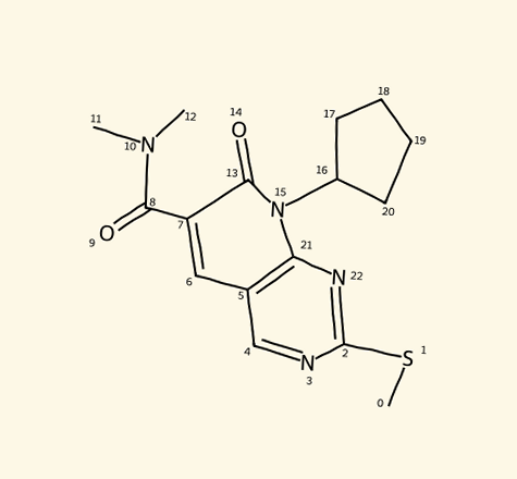 CSc1ncc2cc(C(=O)N(C)C)c(=O)n(C3CCCC3)c2n1